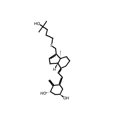 C=C1C(=CC=C2CCC[C@]3(C)C(CSCCCC(C)(C)O)=CC[C@@H]23)C[C@@H](O)C[C@@H]1O